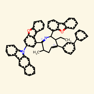 CCC1/C(c2cccc(-c3ccccc3)c2)=C/CC(C)/C(c2cc(-n3c4ccccc4c4cc5ccccc5cc43)cc3oc4ccccc4c23)=N\C1c1cccc2c1oc1ccccc12